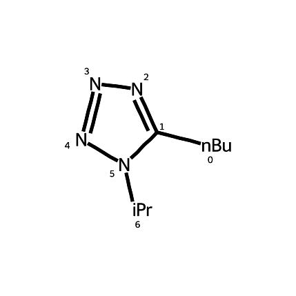 CCCCc1nnnn1C(C)C